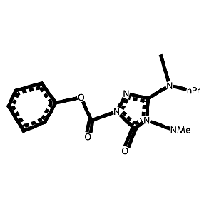 CCCN(C)c1nn(C(=O)Oc2ccccc2)c(=O)n1NC